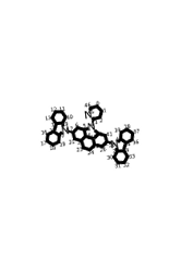 c1ccc(-n2c3cc(-n4c5ccccc5c5ccccc54)cc4ccc5cc(-n6c7ccccc7c7ccccc76)cc2c5c43)nc1